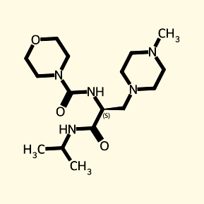 CC(C)NC(=O)[C@H](CN1CCN(C)CC1)NC(=O)N1CCOCC1